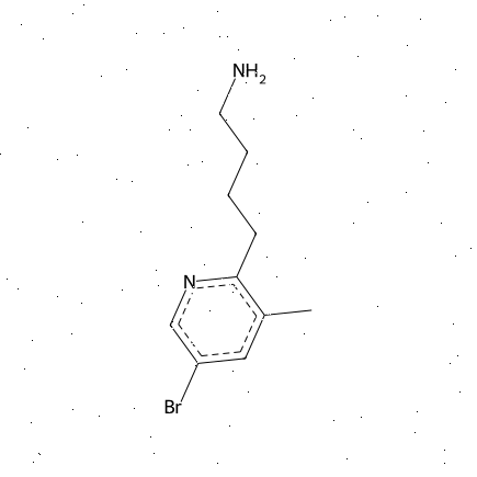 Cc1cc(Br)cnc1CCCCN